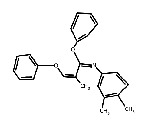 CC(=COc1ccccc1)C(=Nc1ccc(C)c(C)c1)Oc1ccccc1